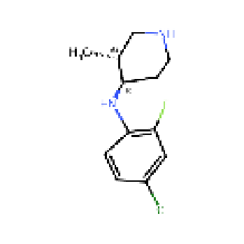 C[C@@H]1CNCC[C@H]1Nc1ccc(Cl)cc1F